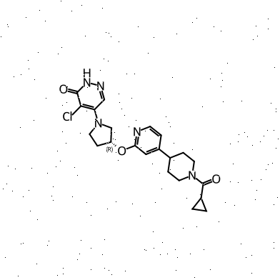 O=C(C1CC1)N1CCC(c2ccnc(O[C@@H]3CCN(c4cn[nH]c(=O)c4Cl)C3)c2)CC1